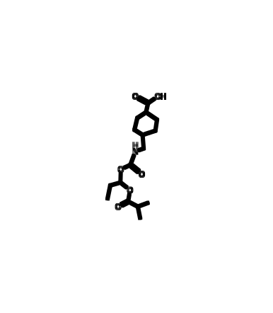 CCC(OC(=O)NCC1CCC(C(=O)O)CC1)OC(=O)C(C)C